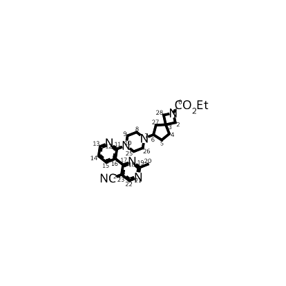 CCOC(=O)N1CC2(CCC(N3CCN(c4ncccc4-c4nc(C)ncc4C#N)CC3)C2)C1